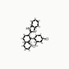 Clc1ccc(-c2c(-c3nc4ccccc4[nH]3)ccc3cccnc23)c(Cl)c1